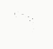 CCCCCS(=O)(=O)CCCN1CCCC1